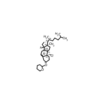 CC(C)CCC[C@@H](C)[C@H]1CC[C@H]2[C@@H]3CC=C4C[C@@H](OC5CCCCO5)CC[C@]4(CCl)[C@H]3CC[C@]12C